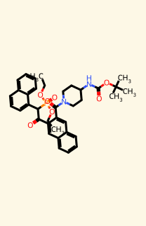 CCOP(=O)(OCC)C(C(=O)c1cc2ccccc2cc1C(=O)N1CCC(NC(=O)OC(C)(C)C)CC1)c1cccc2ccccc12